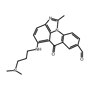 Cc1nc2ccc(NCCCN(C)C)c3c(=O)c4cc(C=O)ccc4n1c23